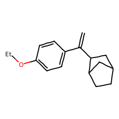 C=C(c1ccc(OCC)cc1)C1CC2CCC1C2